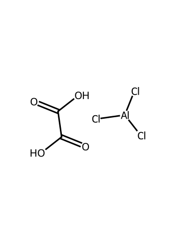 O=C(O)C(=O)O.[Cl][Al]([Cl])[Cl]